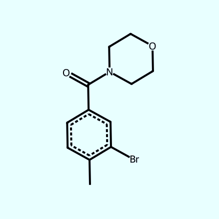 Cc1ccc(C(=O)N2CCOCC2)cc1Br